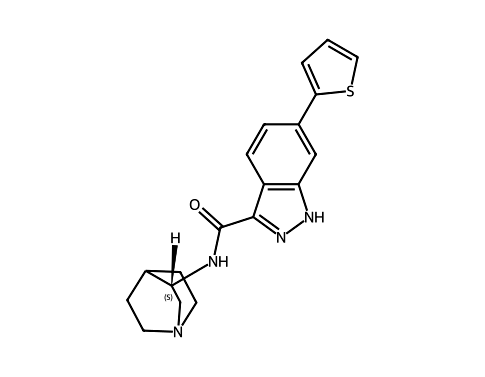 O=C(N[C@@H]1CN2CCC1CC2)c1n[nH]c2cc(-c3cccs3)ccc12